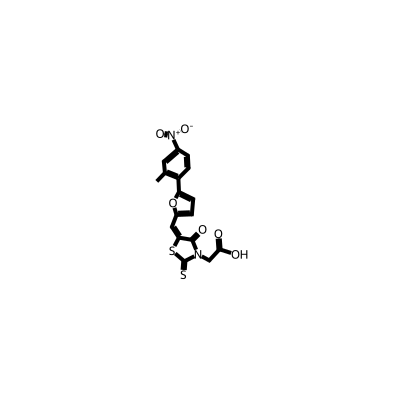 Cc1cc([N+](=O)[O-])ccc1-c1ccc(/C=C2/SC(=S)N(CC(=O)O)C2=O)o1